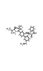 CN(C)C(=O)CN(c1cccc(NC(=C2C(=O)Nc3ccccc32)c2ccc(CN)cc2)c1)S(C)(=O)=O